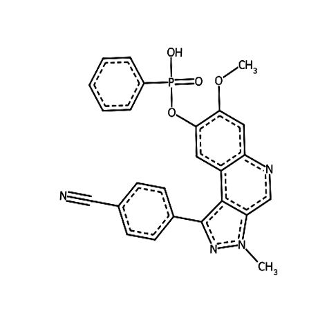 COc1cc2ncc3c(c(-c4ccc(C#N)cc4)nn3C)c2cc1OP(=O)(O)c1ccccc1